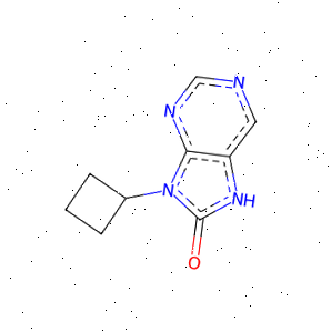 O=c1[nH]c2cncnc2n1C1CCC1